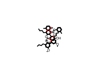 CCCCc1cc(OC)cc(-c2cc(O)cc(O)c2OP(Oc2cccc(C)c2)Oc2cccc(C)c2)c1Op1oc2c(CCCC)cc(OC)cc2c2cc(OC)cc(CCCC)c2o1